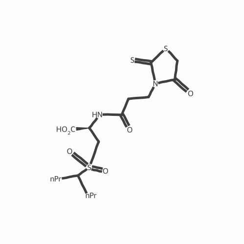 CCCC(CCC)S(=O)(=O)C[C@H](NC(=O)CCN1C(=O)CSC1=S)C(=O)O